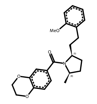 COc1ccccc1CC[C@H]1CC[C@@H](C)N1C(=O)c1ccc2c(c1)OCCO2